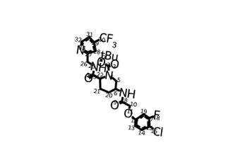 CC(C)(C)OC(=O)N1CC(NC(=O)COc2ccc(Cl)c(F)c2)CCC1C(=O)NCc1cc(C(F)(F)F)ccn1